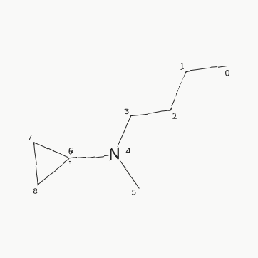 CCCCN(C)[C]1CC1